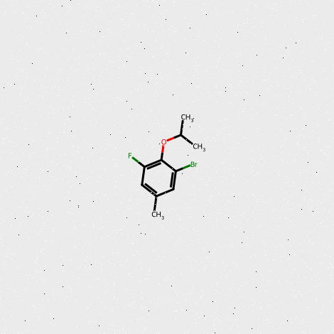 Cc1cc(F)c(OC(C)C)c(Br)c1